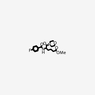 COC(=O)CCCC(NC(=O)c1ccc(F)cc1)C(=O)N1CCOCC1